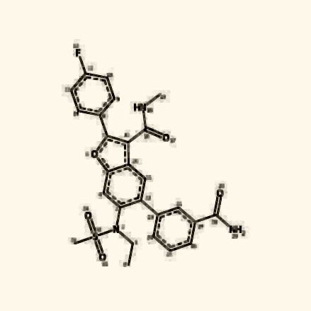 CCN(c1cc2oc(-c3ccc(F)cc3)c(C(=O)NC)c2cc1-c1cccc(C(N)=O)c1)S(C)(=O)=O